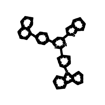 c1ccc2sc(-c3cc(-c4ccc(-c5cccc6ccccc56)cc4)nc(-c4ccc(-n5c6ccccc6c6ccccc65)cc4)n3)cc2c1